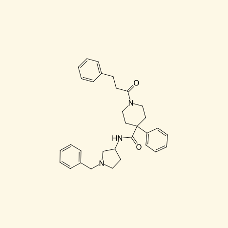 O=C(CCc1ccccc1)N1CCC(C(=O)NC2CCN(Cc3ccccc3)C2)(c2ccccc2)CC1